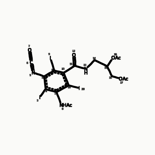 CC(=O)Nc1c(I)c(N=C=O)c(I)c(C(=O)NCC(COC(C)=O)OC(C)=O)c1I